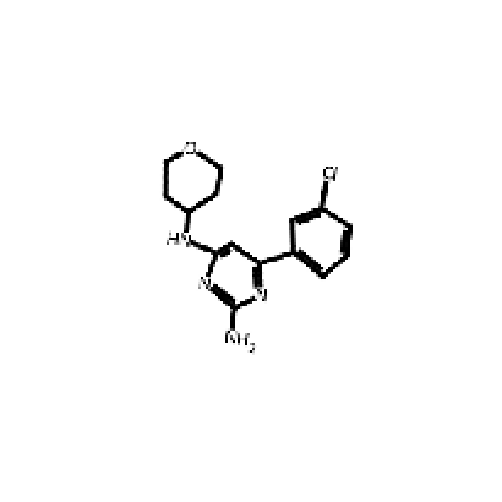 Nc1nc(NC2CCOCC2)cc(-c2cccc(Cl)c2)n1